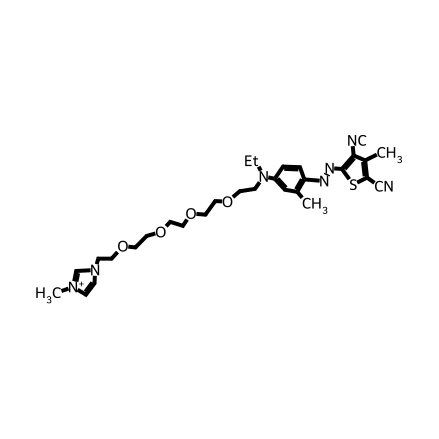 [C-]#[N+]c1c(/N=N/c2ccc(N(CC)CCOCCOCCOCCOCCn3cc[n+](C)c3)cc2C)sc(C#N)c1C